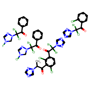 CC(C(=O)c1c(Cl)ccc(C(=O)C(Br)(Br)n2cncn2)c1Cl)n1cncn1.O=C(c1ccccc1)C(Cl)(Br)N1CN(Cl)C=N1.O=C(c1ccccc1)C(Cl)(Br)N1CN(F)C=N1.O=C(c1ccccc1Cl)C(Cl)(Br)n1cncn1